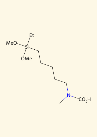 CC[Si](CCCCCN(C)C(=O)O)(OC)OC